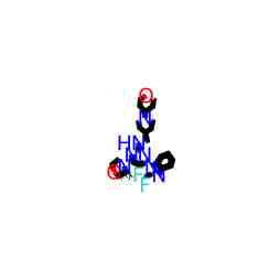 C[C@@H]1COCCN1c1cc(-n2c(C(F)F)nc3ccccc32)nc(NCC2CCN(C3CCOCC3)CC2)n1